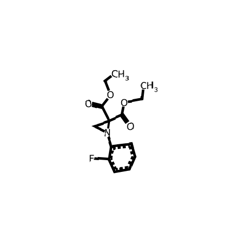 CCOC(=O)C1(C(=O)OCC)CN1c1ccccc1F